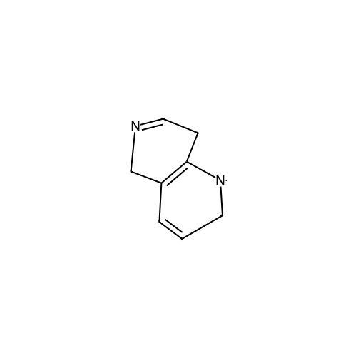 C1=CC2=C(CC=NC2)[N]C1